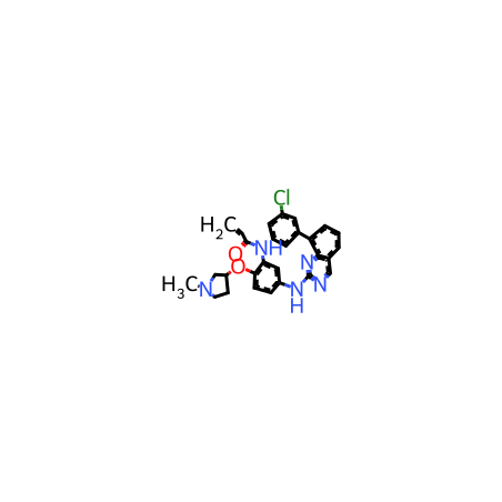 C=CC(=O)Nc1cc(Nc2ncc3cccc(-c4cccc(Cl)c4)c3n2)ccc1OC1CCN(C)C1